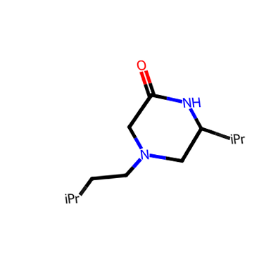 CC(C)CCN1CC(=O)NC(C(C)C)C1